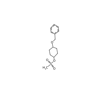 CS(=O)(=O)OC1CCC(OCc2ccccc2)CC1